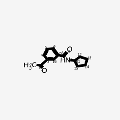 CC(=O)c1cccc(C(=O)NC2CCCC2)c1